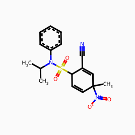 CC(C)N(c1ccccc1)S(=O)(=O)C1C=CC(C)([N+](=O)[O-])C=C1C#N